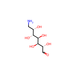 NC[C@H](O)[C@@H](O)[C@@H](O)[C@H](O)[C@H](O)C=O